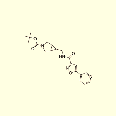 CC(C)(C)OC(=O)N1CC2C(CNC(=O)c3cc(-c4cccnc4)on3)C2C1